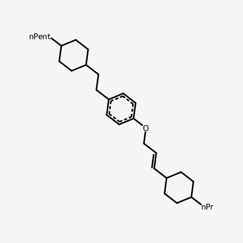 CCCCCC1CCC(CCc2ccc(OCC=CC3CCC(CCC)CC3)cc2)CC1